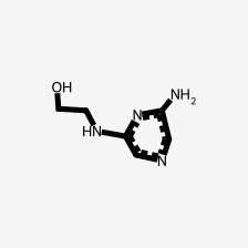 Nc1cncc(NCCO)n1